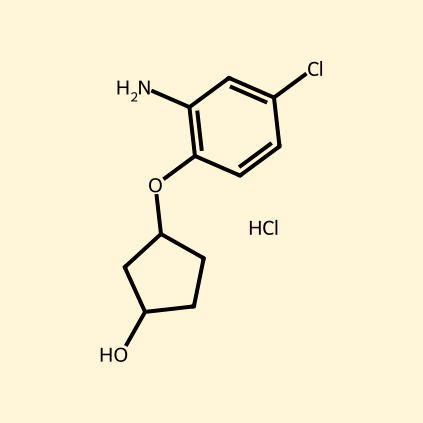 Cl.Nc1cc(Cl)ccc1OC1CCC(O)C1